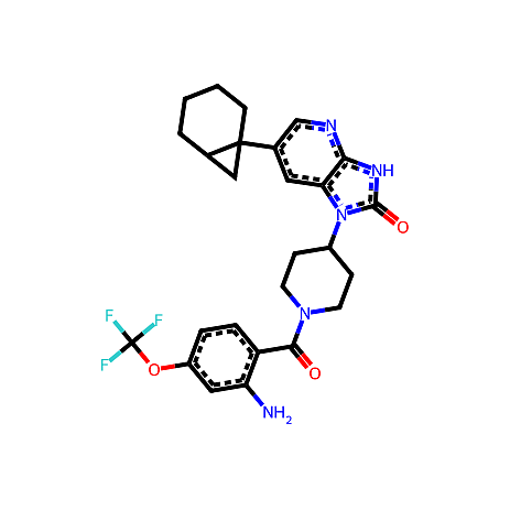 Nc1cc(OC(F)(F)F)ccc1C(=O)N1CCC(n2c(=O)[nH]c3ncc(C45CCCCC4C5)cc32)CC1